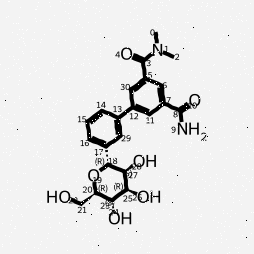 CN(C)C(=O)c1cc(C(N)=O)cc(-c2cccc([C@H]3O[C@H](CO)[C@@H](O)[C@H](O)[C@@H]3O)c2)c1